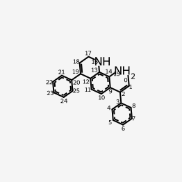 C/C=C(/c1ccccc1)c1ccc2c(c1N)NCC=C2c1ccccc1